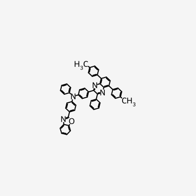 Cc1ccc(-c2ccc(-c3ccc(C)cc3)c3nc(-c4ccc(N(c5ccccc5)c5ccc(-c6nc7ccccc7o6)cc5)cc4)c(-c4ccccc4)nc23)cc1